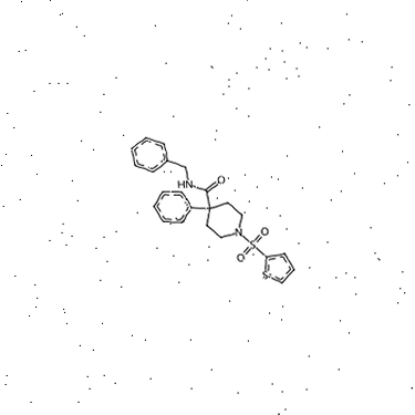 O=C(NCc1ccccc1)C1(c2ccccc2)CCN(S(=O)(=O)c2cccs2)CC1